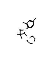 Cc1ccc(N2C(=O)C(C)(C)C2N2CCOCC2)c(Cl)c1